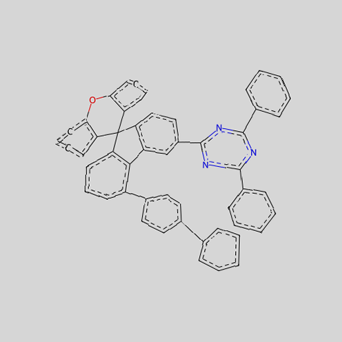 c1ccc(-c2ccc(-c3cccc4c3-c3cc(-c5nc(-c6ccccc6)nc(-c6ccccc6)n5)ccc3C43c4ccccc4Oc4ccccc43)cc2)cc1